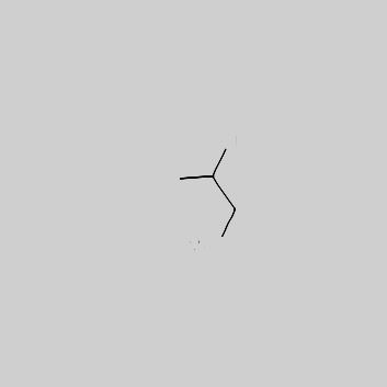 CCCCC(COC)C(=O)OCC